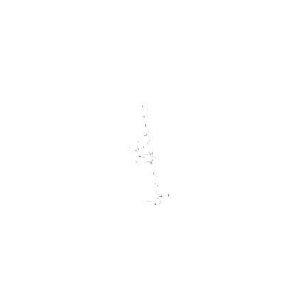 CC(C)OC(=O)c1ccccc1.CCCCCCCCCCCCCCCCCCCCCC(=O)O